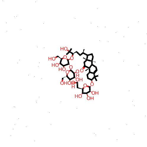 C[C@H](CC[C@@H](O[C@@H]1O[C@H](CO)[C@@H](O)[C@H](O)[C@H]1O[C@H]1O[C@@H](CO)[C@H](O)[C@@H](O)[C@@H]1O)C(C)(C)O)C1CC[C@@]2(C)C3CC=C4C(CC[C@H](O[C@@H]5O[C@H](CCO)[C@@H](O)[C@H](O)[C@H]5O)C4(C)C)[C@]3(C)C(=O)C[C@]12C